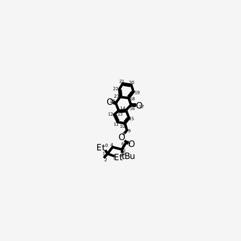 CCC(C)(CC)CC(C(=O)OCc1ccc2c(c1)C(=O)c1ccccc1C2=O)C(C)(C)C